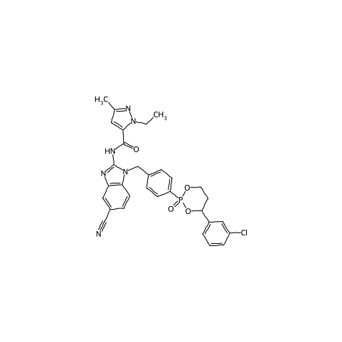 CCn1nc(C)cc1C(=O)Nc1nc2cc(C#N)ccc2n1Cc1ccc(P2(=O)OCCC(c3cccc(Cl)c3)O2)cc1